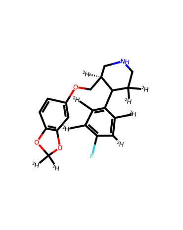 [2H]c1c([2H])c(C2C([2H])([2H])CNC[C@]2([2H])COc2ccc3c(c2)OC([2H])([2H])O3)c([2H])c([2H])c1F